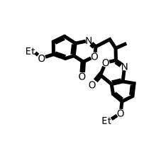 CCOc1ccc2nc(CC(C)c3nc4ccc(OCC)cc4c(=O)o3)oc(=O)c2c1